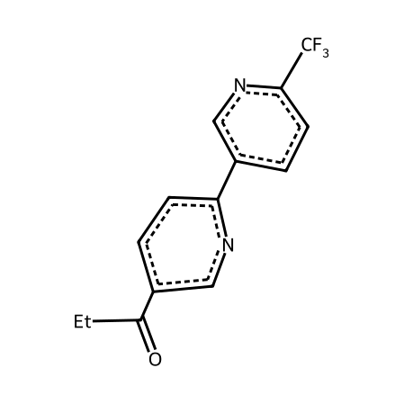 CCC(=O)c1ccc(-c2ccc(C(F)(F)F)nc2)nc1